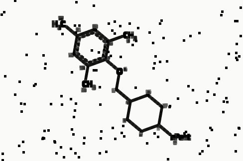 CCCCCC1CCC(COc2c(C)cc(C)cc2C)CC1